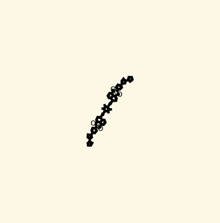 Cc1c(C)c(C#Cc2ccc3c4c(cccc24)C(=O)N(c2ccc(C4=CC=C(C5=CCC=C5)C4)cc2)C3=O)c(C)c(C)c1C#Cc1ccc2c3c(cccc13)C(=O)N(c1ccc(C3=CC(C4=CC=CC4)=CC3)cc1)C2=O